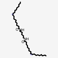 CCCCCCCC/C=C\CCCCCCCC(=O)NCCCCCNC(=O)CCCCCCC/C=C\CCCCCCCC